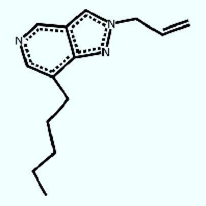 C=CCn1cc2cncc(CCCCC)c2n1